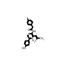 CC(C)=Cc1nc(-c2ccc(O)cc2)cnc1NC(=O)Cc1ccc(I)cc1